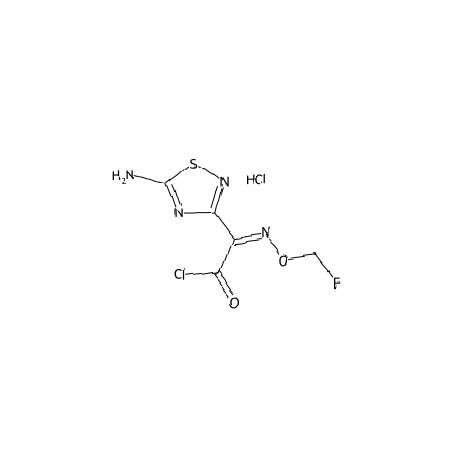 Cl.Nc1nc(/C(=N/OCF)C(=O)Cl)ns1